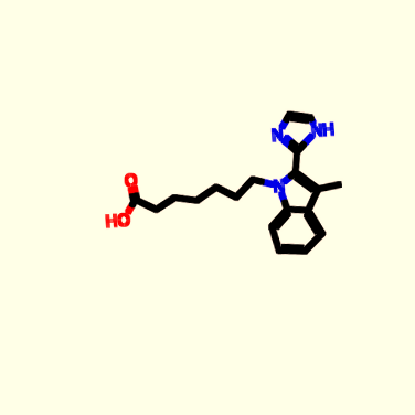 Cc1c(-c2ncc[nH]2)n(CCCCCCC(=O)O)c2ccccc12